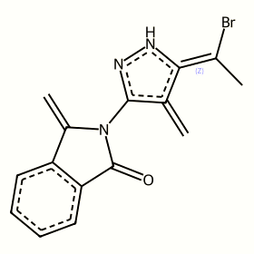 C=C1c2ccccc2C(=O)N1c1n[nH]/c(=C(/C)Br)c1=C